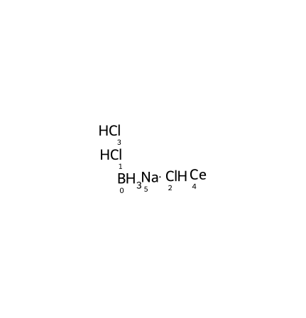 B.Cl.Cl.Cl.[Ce].[Na]